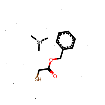 O=C(CS)OCc1ccccc1.[CH3][Sn]([CH3])[CH3]